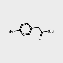 CC(C)c1ccc(CC(=O)C(C)(C)C)cc1